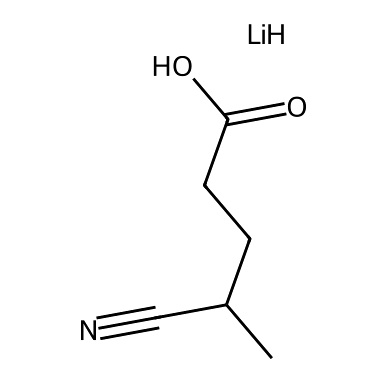 CC(C#N)CCC(=O)O.[LiH]